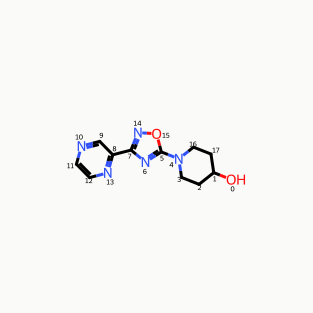 OC1CCN(c2nc(-c3cnccn3)no2)CC1